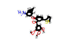 COc1cc(C(=O)c2cc(-c3cccs3)ccc2Oc2cccc(N)c2)cc(OC)c1OC